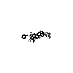 CC(C)C1=C2[C@H]3CC[C@H]4[C@]5(C)CC=C(OS(=O)(=O)C(F)(F)F)C(C)(C)[C@H]5CC[C@]4(C)[C@@]3(C)CC[C@]2(C(=O)OCc2ccccc2)CC1=O